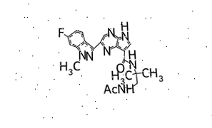 CC(=O)NCC(C)(C)NC(=O)c1c[nH]c2ncc(-c3nn(C)c4cc(F)ccc34)nc12